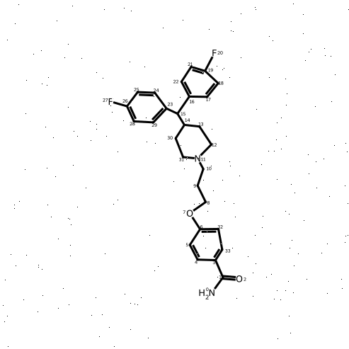 NC(=O)c1ccc(OCCCN2CCC(C(c3ccc(F)cc3)c3ccc(F)cc3)CC2)cc1